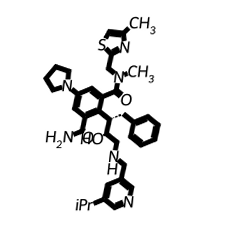 Cc1csc(CN(C)C(=O)c2cc(N3CCCC3)cc(C(N)=O)c2[C@H](Cc2ccccc2)[C@@H](O)CNCc2cncc(C(C)C)c2)n1